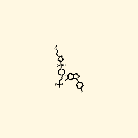 COCCn1cc(S(=O)(=O)N2CCN(CCC(F)(F)F)[C@@H](c3cc4cnn(-c5ccc(F)cc5)c4cc3C)C2)cn1